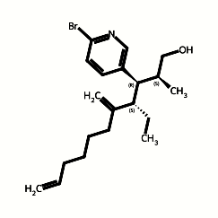 C=CCCCCC(=C)[C@@H](CC)[C@@H](c1ccc(Br)nc1)[C@H](C)CO